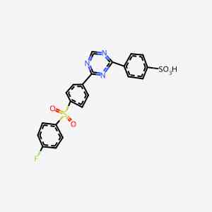 O=S(=O)(O)c1ccc(-c2ncnc(-c3ccc(S(=O)(=O)c4ccc(F)cc4)cc3)n2)cc1